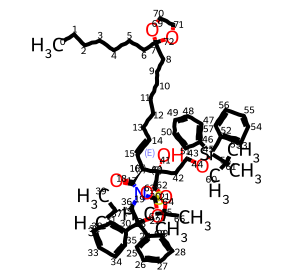 CCCCCCCC1(CCCCCC/C=C/[C@H](C(=O)N2C(=S)OC(c3ccccc3)(c3ccccc3)[C@@H]2C(C)C)[C@@](O)(CCO[Si](c2ccccc2)(c2ccccc2)C(C)(C)C)C(=O)OC(C)(C)C)OCCO1